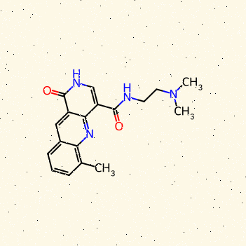 Cc1cccc2cc3c(=O)[nH]cc(C(=O)NCCN(C)C)c3nc12